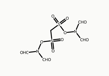 O=CN(C=O)OS(=O)(=O)CS(=O)(=O)ON(C=O)C=O